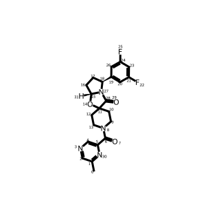 Cc1cncc(C(=O)N2CCC3(CC2)O[C@@H]2CC[C@@H](c4cc(F)cc(F)c4)N2C3=O)n1